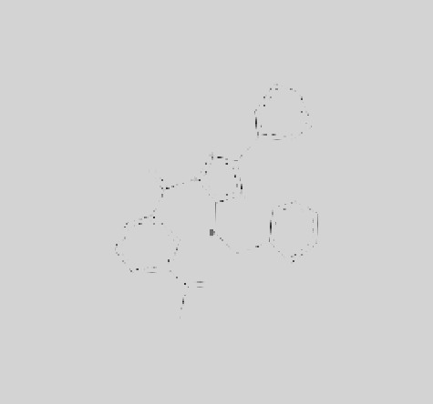 C[N+](=O)c1cccc(C(=O)n2nc(-c3ccccc3)nc2NCc2ccccc2)c1